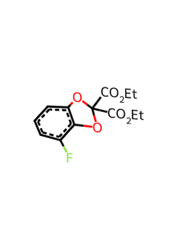 CCOC(=O)C1(C(=O)OCC)Oc2cccc(F)c2O1